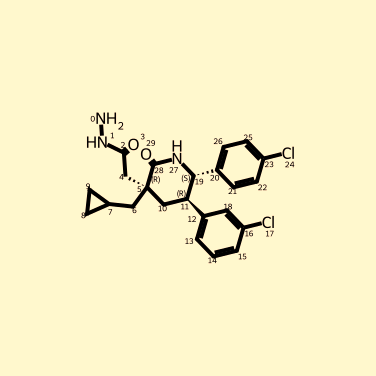 NNC(=O)C[C@@]1(CC2CC2)C[C@H](c2cccc(Cl)c2)[C@@H](c2ccc(Cl)cc2)NC1=O